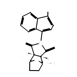 C[C@]12CC[C@](C)(O1)[C@@H]1C(=O)N(c3ccc(Cl)c4ccccc34)C(=O)[C@@H]12